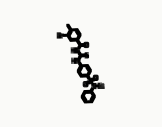 CCN(c1ccccc1)S(=O)(=O)c1ccc(NC(=S)NC(=O)c2ccc(C)c(Br)c2)cc1